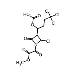 COC(=O)C(=O)N1C(=O)C(C(CCC(Cl)(Cl)Cl)OC(=O)O)C1Cl